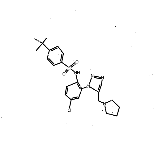 CC(C)(C)c1ccc(S(=O)(=O)Nc2ccc(Cl)cc2-n2nncc2CN2CCCC2)cc1